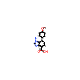 COc1ccc(-c2ccc(C(=O)O)c3nc[nH]c23)cc1